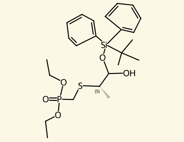 CCOP(=O)(CS[C@@H](C)C(O)O[Si](c1ccccc1)(c1ccccc1)C(C)(C)C)OCC